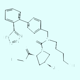 CCCCCN(Cc1ccc(-c2ccccc2-c2nnn[nH]2)cc1)C(=O)N1C[C@@H](N)C[C@H]1C(=O)OC